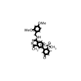 COc1ccc(CNc2nnc(C)c3cc(-c4cc(Cl)ccc4P(C)(C)=O)ccc23)c(OC)c1